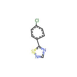 Clc1ccc(-c2ncns2)cc1